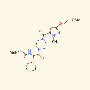 CNCC(=O)NC(C(=O)N1CCN(C(=O)c2cc(OCCOC)nn2C)CC1)C1CCCCC1